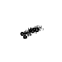 CN1C(=O)CC[C@]2(C)[C@H]3CC[C@]4(C)[C@@H](OC(=O)NC(C)(c5ccccc5)c5ccccc5)CC[C@H]4[C@@H]3CC[C@@H]12